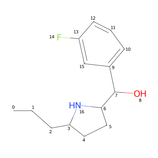 CCCC1CCC(C(O)c2cccc(F)c2)N1